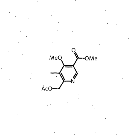 COC(=O)c1cnc(COC(C)=O)c(C)c1OC